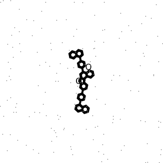 c1ccc2c(-c3ccc(-c4ccc5c(c4)oc4cc6c7c(cccc7c45)Oc4cc(-c5cccc7ccccc57)ccc4-6)cc3)cccc2c1